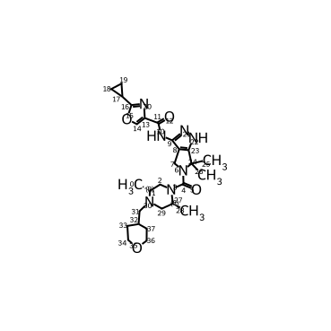 C[C@@H]1CN(C(=O)N2Cc3c(NC(=O)c4coc(C5CC5)n4)n[nH]c3C2(C)C)[C@@H](C)CN1CC1CCOCC1